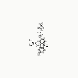 CCN(CC)CCn1c2cc(Cl)ccc2c(=O)c2ccc(OCCCNC(C)(C)C)cc21